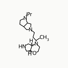 CC(C)N1CCC2CN(CCC(C)N3CCO[C@@H]4CNC[C@@H]43)CC21